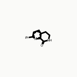 CC(C)c1ccc2c(n1)C(=O)NCC2